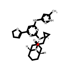 Cc1cc(Nc2cc(C3=CCCO3)nc(N(C)[C@H]3C[C@H]4CCC[C@@H](C3)N4C(=O)CC3CC3)n2)n[nH]1